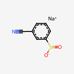 N#Cc1cccc(S(=O)[O-])c1.[Na+]